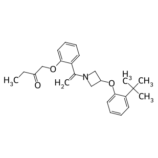 C=C(c1ccccc1OCC(=O)CC)N1CC(Oc2ccccc2C(C)(C)C)C1